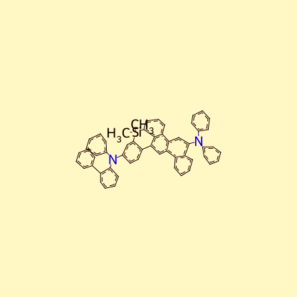 C[Si]1(C)c2cc(N(c3ccccc3)c3ccccc3-c3ccccc3)ccc2-c2cc3c4ccccc4c(N(c4ccccc4)c4ccccc4)cc3c3cccc1c23